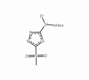 CCCCCC[S+]([O-])c1nnc(S(C)(=O)=O)s1